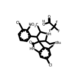 CC(C)(C)CC1NC(C(=O)O)C(c2cccc(Cl)c2F)C12C(=O)Nc1cc(Cl)cc(F)c12.O=C(O)C(F)(F)F